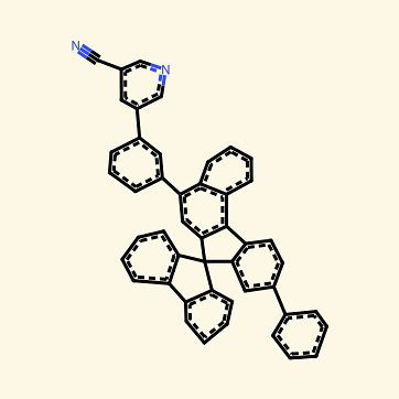 N#Cc1cncc(-c2cccc(-c3cc4c(c5ccccc35)-c3ccc(-c5ccccc5)cc3C43c4ccccc4-c4ccccc43)c2)c1